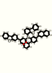 c1ccc(-c2ccc(-c3ccc4ccccc4c3)cc2N(c2cccc(-c3ccc4c(c3)oc3ccccc34)c2)c2cccc3c2oc2ccccc23)cc1